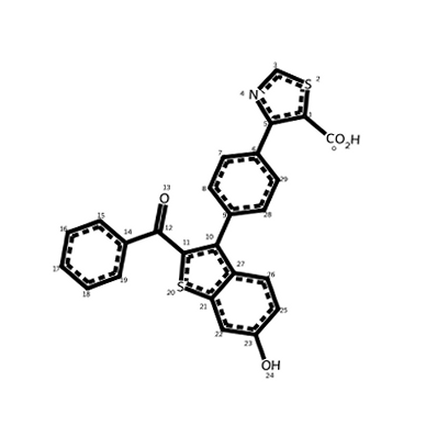 O=C(O)c1scnc1-c1ccc(-c2c(C(=O)c3ccccc3)sc3cc(O)ccc23)cc1